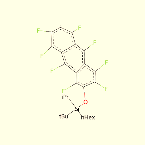 CCCCCC[Si](Oc1c(F)c(F)c2c(F)c3c(F)[c]c(F)c(F)c3c(F)c2c1F)(C(C)C)C(C)(C)C